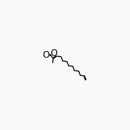 C=CCCCCCCCCC1=C(C)C(=O)O1